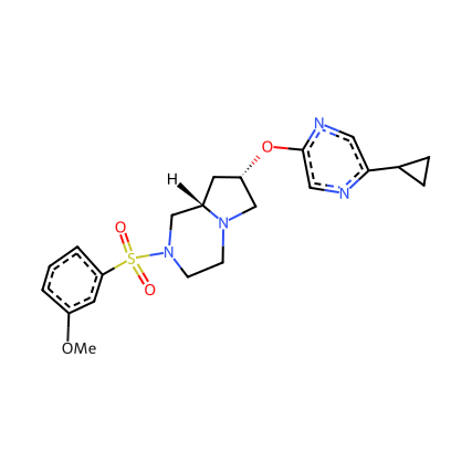 COc1cccc(S(=O)(=O)N2CCN3C[C@@H](Oc4cnc(C5CC5)cn4)C[C@H]3C2)c1